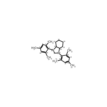 Cc1cc(C)c(N2CN(c3c(C)cc(C)cc3C)C3CCCCC32)c(C)c1